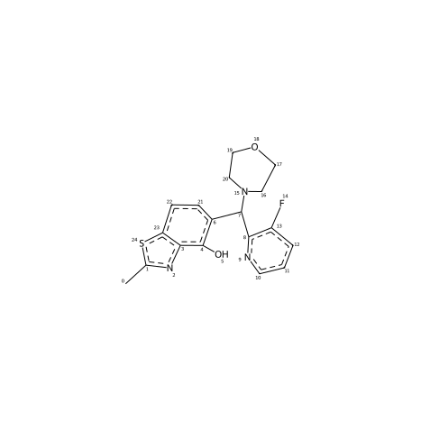 Cc1nc2c(O)c(C(c3ncccc3F)N3CCOCC3)ccc2s1